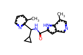 Cc1cccnc1C(NC(=O)c1cc2cncc(C)c2[nH]1)C1CC1